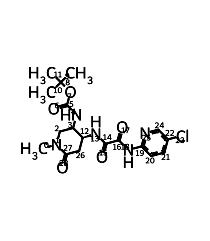 CN1CC(NC(=O)OC(C)(C)C)[C@@H](NC(=O)C(=O)Nc2ccc(Cl)cn2)CC1=O